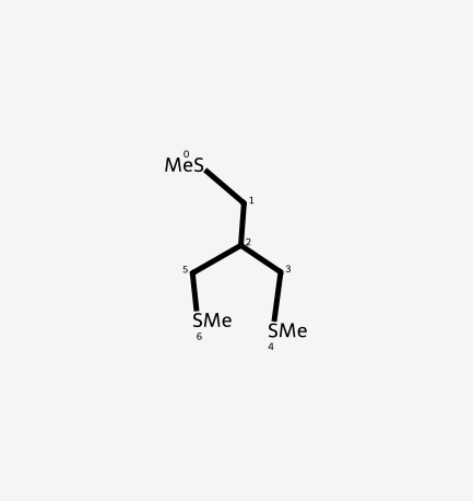 CSCC(CSC)CSC